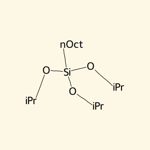 CCCCCCCC[Si](OC(C)C)(OC(C)C)OC(C)C